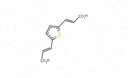 O=C(O)C=Cc1ccc(C=CC(=O)O)s1